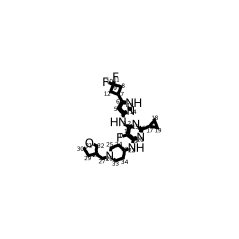 Fc1c(Nc2cc(C3CC(F)(F)C3)[nH]n2)nc(C2CC2)nc1NC1CCN(CC2CCOC2)CC1